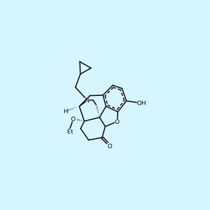 CCO[C@@]12CCC(=O)C3Oc4c(O)ccc5c4[C@@]31CCN(CC1CC1)[C@@H]2C5